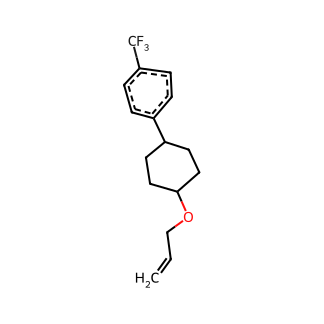 C=CCOC1CCC(c2ccc(C(F)(F)F)cc2)CC1